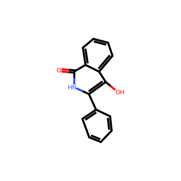 O=c1[nH]c(-c2ccccc2)c(O)c2ccccc12